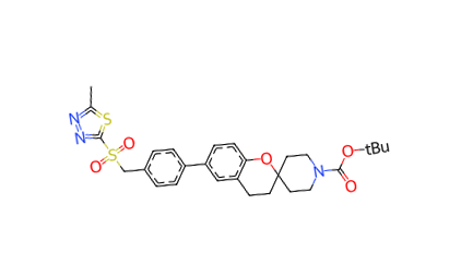 Cc1nnc(S(=O)(=O)Cc2ccc(-c3ccc4c(c3)CCC3(CCN(C(=O)OC(C)(C)C)CC3)O4)cc2)s1